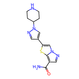 NC(=O)c1cnn2cc(-c3cnn(C4CCNCC4)c3)sc12